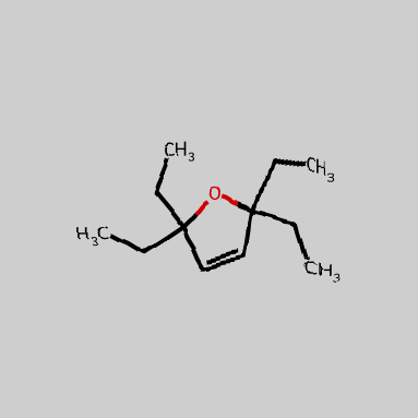 CCC1(CC)C=CC(CC)(CC)O1